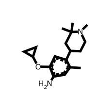 Cc1cc(N)c(OC2CC2)cc1C1CCN(C)C(C)(C)C1